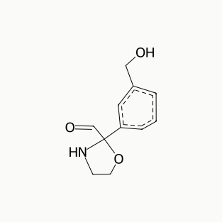 O=CC1(c2cccc(CO)c2)NCCO1